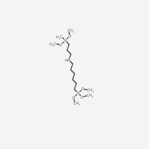 CO[Si](C)(CCCNCCCCCC[Si](OC)(OC)OC)OC